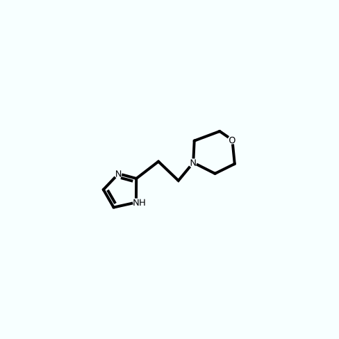 c1c[nH]c(CCN2CCOCC2)n1